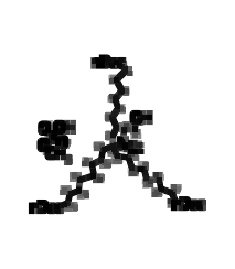 CCCCCCCCCCCCCCCCCCC(CCCCCCCCCCCCCCCCCC)(CCCCCCCCCCCCCCCCCC)N(CC)CCO.COS(=O)(=O)O